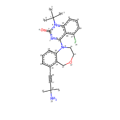 [2H]C([2H])([2H])n1c(=O)nc(N2CCOCc3c(C#CC(C)(C)N)cccc32)c2c(F)cccc21